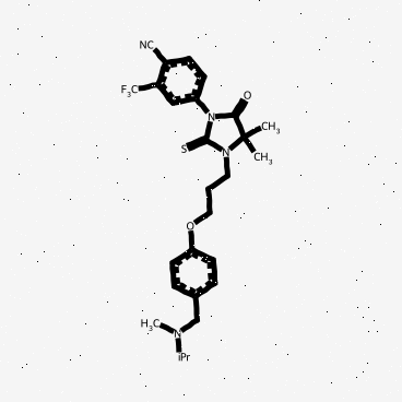 CC(C)N(C)Cc1ccc(OCCCN2C(=S)N(c3ccc(C#N)c(C(F)(F)F)c3)C(=O)C2(C)C)cc1